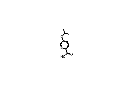 CC(C)Oc1ccc(C(=O)O)nc1